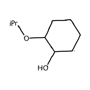 CC(C)OC1CCC[CH]C1O